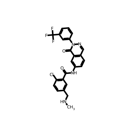 CNCc1ccc(Cl)c(C(=O)Nc2ccc3cnn(-c4cccc(C(F)(F)F)c4)c(=O)c3c2)c1